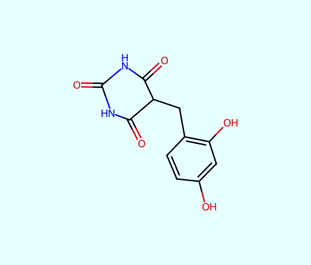 O=C1NC(=O)C(Cc2ccc(O)cc2O)C(=O)N1